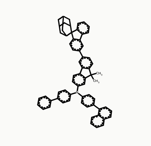 CC1(C)c2ccc(-c3ccc4c(c3)-c3ccccc3C43C4CC5CC(C4)CC3C5)cc2-c2ccc(N(c3ccc(-c4ccccc4)cc3)c3ccc(-c4cccc5ccccc45)cc3)cc21